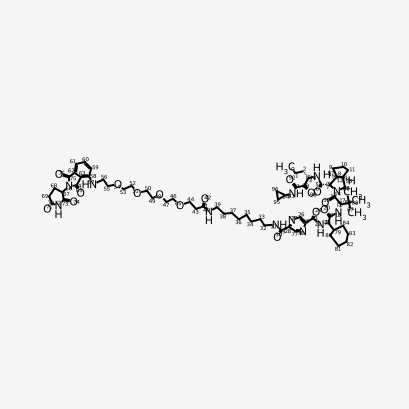 CCC[C@H](NC(=O)[C@@H]1[C@H]2CCC[C@H]2CN1C(=O)[C@@H](NC(=O)[C@@H](NC(=O)c1cnc(C(=O)NCCCCCCCCNC(=O)CCOCCOCCOCCOCCNc2cccc3c2C(=O)N(C2CCC(=O)NC2=O)C3=O)cn1)C1CCCCC1)C(C)(C)C)C(=O)C(=O)NC1CC1